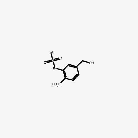 CCCS(=O)(=O)Nc1cc(CO)ccc1C(=O)O